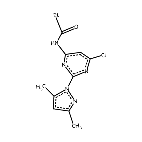 CCC(=O)Nc1cc(Cl)nc(-n2nc(C)cc2C)n1